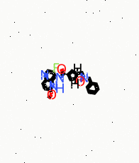 COc1ccc2ncc(F)c(NC(=O)[C@H]3C[C@@H]4CN(Cc5ccccc5)O[C@@H]4C3)c2n1